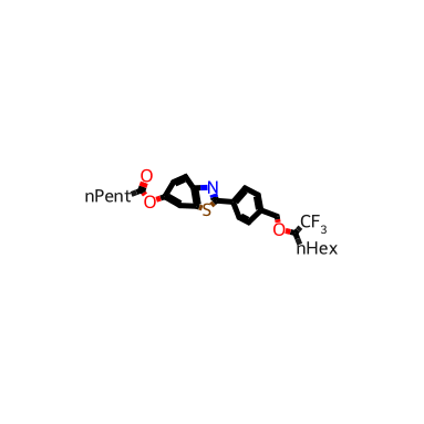 CCCCCCC(OCc1ccc(-c2nc3ccc(OC(=O)CCCCC)cc3s2)cc1)C(F)(F)F